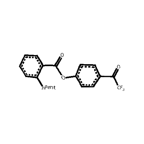 CCCCCc1ccccc1C(=O)Oc1ccc(C(=O)C(F)(F)F)cc1